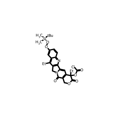 CCc1c2c(nc3ccc(OO[Si](C)(C)C(C)(C)C)cc13)-c1cc3c(c(=O)n1C2)COC(=O)C3(CC)OC(=O)Cl